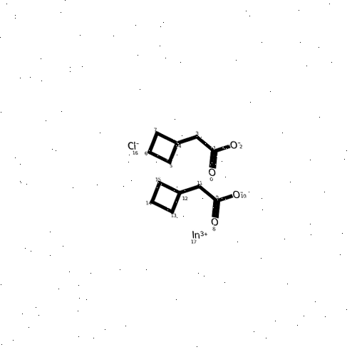 O=C([O-])CC1CCC1.O=C([O-])CC1CCC1.[Cl-].[In+3]